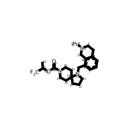 CC(C)N1CCc2cccc(CN3CCCC34CCN(C(=O)OC(C)C(F)(F)F)CC4)c2C1